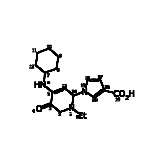 CCN1CC(=O)C(NC2CCCCC2)=CC1n1ccc(C(=O)O)c1